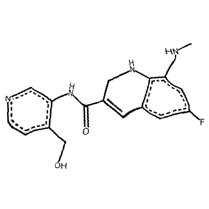 CNc1cc(F)cc2c1NCC(C(=O)Nc1cnccc1CO)=C2